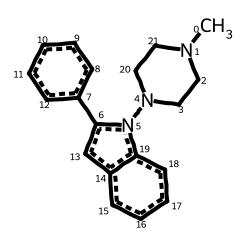 CN1CCN(n2c(-c3ccccc3)cc3ccccc32)CC1